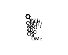 COCOC(=O)C1=C(Cl)CS[C@@H]2[C@H](N3C(=O)C(c4ccccc4)NC3(C)C)C(=O)N12